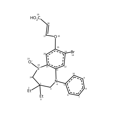 CCC1(CC)CN(c2ccccc2)c2cc(Br)c(O/C=C/C(=O)O)cc2[S+]([O-])C1